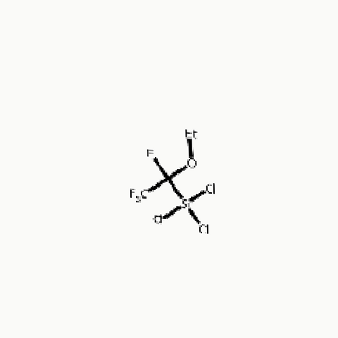 CCOC(F)(C(F)(F)F)[Si](Cl)(Cl)Cl